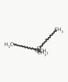 CCCCCCCCCCCCCCCCC=COC(OC=CCCCCCCCCCCCCCCCC)N(C)C